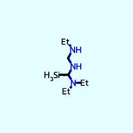 CCNCNC([SiH3])N(CC)CC